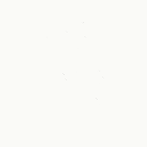 COc1ncc(-c2cc(-c3nnc(CNCC(O)CI)o3)c3cn[nH]c3c2)cc1NS(C)(=O)=O